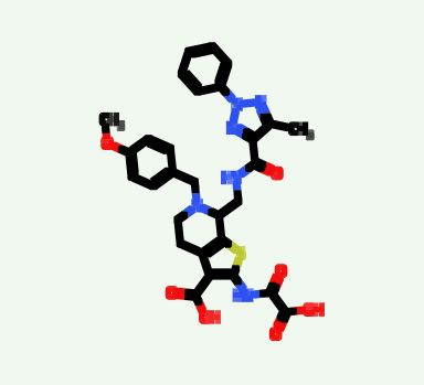 COc1ccc(CN2CCc3c(sc(NC(=O)C(=O)O)c3C(=O)O)C2CNC(=O)c2nn(-c3ccccc3)nc2C)cc1